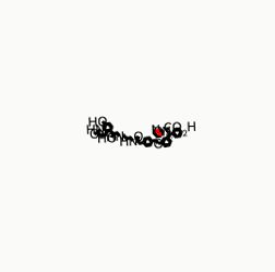 O=C(Cc1ccc(COc2cccc([C@H](c3ccccc3)N(C(=O)O)C3CN4CCC3CC4)c2)cc1)NCCCNCC(O)c1ccc(O)c2[nH]c(=O)ccc12